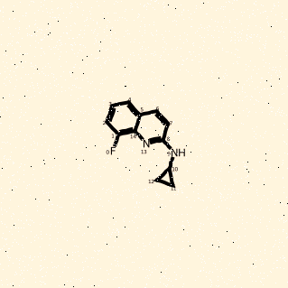 Fc1cccc2ccc(NC3CC3)nc12